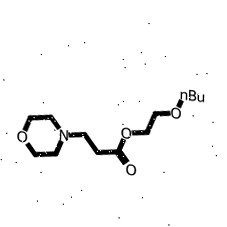 CCCCOCCOC(=O)CCN1CCOCC1